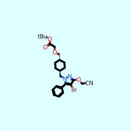 CC(C)(C)OC(=O)COC[C@H]1CC[C@H](Cn2nc(OCC#N)c(Br)c2-c2ccccc2)CC1